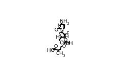 C[C@H](CCO[PH]1(O)OC[C@H]2S[C@@H](n3ccc(N)nc3=O)[C@@H](F)[C@@H]2O1)C(=O)O